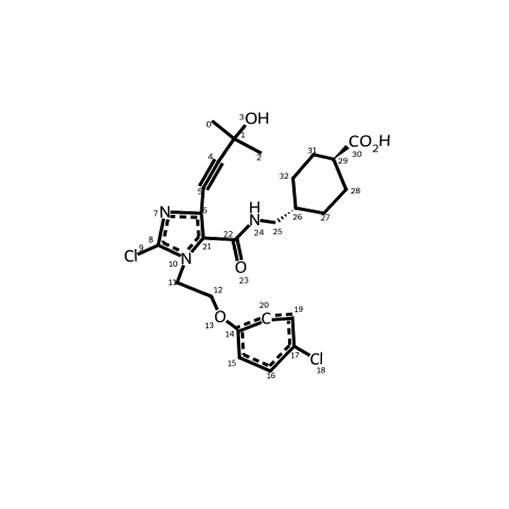 CC(C)(O)C#Cc1nc(Cl)n(CCOc2ccc(Cl)cc2)c1C(=O)NC[C@H]1CC[C@H](C(=O)O)CC1